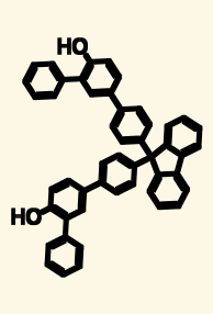 Oc1ccc(-c2ccc(C3(c4ccc(-c5ccc(O)c(-c6ccccc6)c5)cc4)c4ccccc4-c4ccccc43)cc2)cc1-c1ccccc1